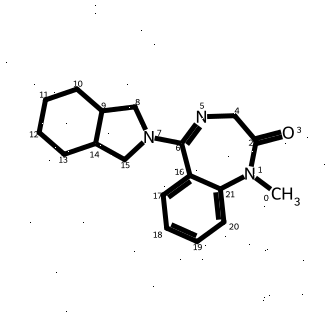 CN1C(=O)CN=C(N2CC3CCCCC3C2)c2ccccc21